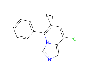 Cc1cc(Cl)c2cncn2c1-c1ccccc1